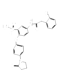 NS(=O)(=O)c1cc(NC(=O)Cc2ccccc2Cl)ccc1Oc1ccc(N2CCCC2=O)cc1